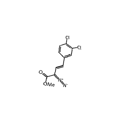 COC(=O)C(C=Cc1ccc(Cl)c(Cl)c1)=[N+]=[N-]